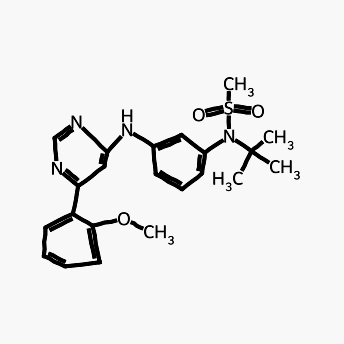 COc1ccccc1-c1cc(Nc2cccc(N(C(C)(C)C)S(C)(=O)=O)c2)ncn1